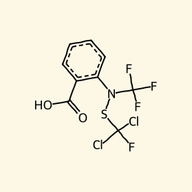 O=C(O)c1ccccc1N(SC(F)(Cl)Cl)C(F)(F)F